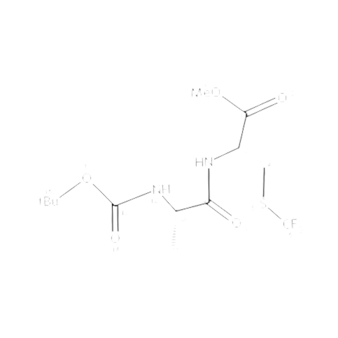 COC(=O)[C@H](CSC(F)(F)F)NC(=O)[C@H](C)NC(=O)OC(C)(C)C